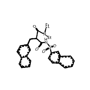 CCN(CC)C(=O)C(Cc1ccc2ccccc2c1)C(=O)NS(=O)(=O)c1ccc2ccccc2c1